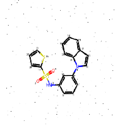 O=S(=O)(Nc1cccc(-n2ccc3cc[c]cc32)c1)c1cccs1